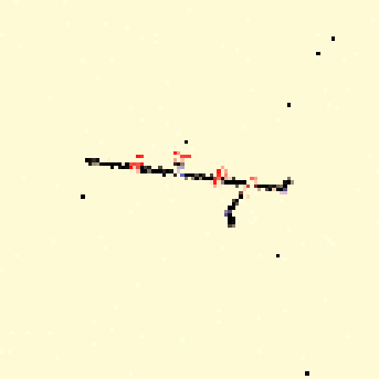 CC/C=C\CCCCOC(CCCCC(=O)OCCCCCCN(CCO)CCCCCCCC(=O)OCCCCCCCCC)OCCCC/C=C\CC